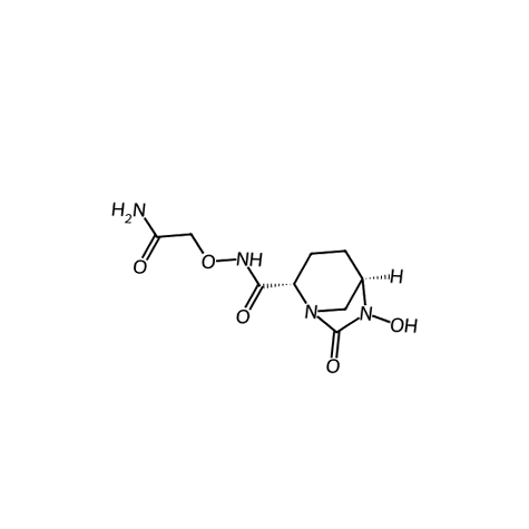 NC(=O)CONC(=O)[C@@H]1CC[C@@H]2CN1C(=O)N2O